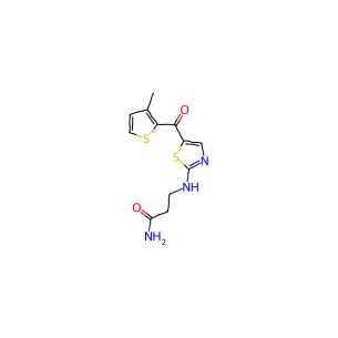 Cc1ccsc1C(=O)c1cnc(NCCC(N)=O)s1